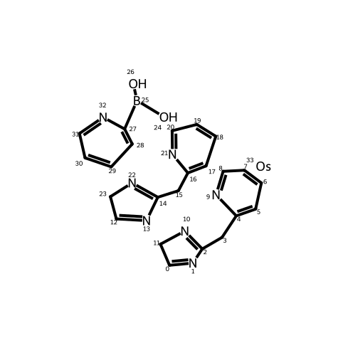 C1=NC(Cc2ccccn2)=NC1.C1=NC(Cc2ccccn2)=NC1.OB(O)c1ccccn1.[Os]